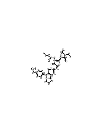 CCOC(=O)Cn1c(=O)/c(=C\c2ccc3c(c2)C2CCCC2N3c2ccc(CO)cc2)s/c1=C1/SC(=O)N(CC)C1=O